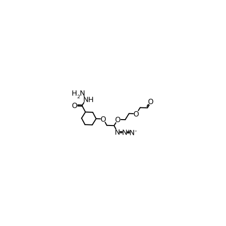 [N-]=[N+]=NC(COC1CCCC(C(=O)NN)C1)OCCOCC=O